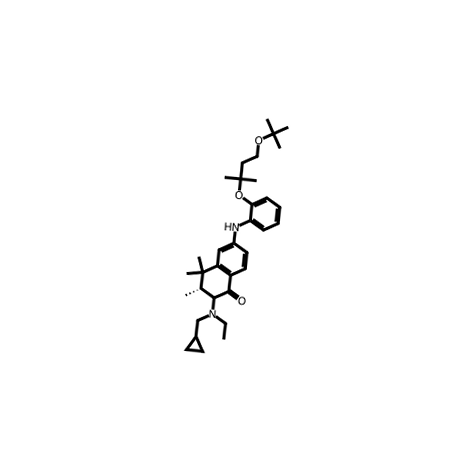 CCN(CC1CC1)C1C(=O)c2ccc(Nc3ccccc3OC(C)(C)CCOC(C)(C)C)cc2C(C)(C)[C@H]1C